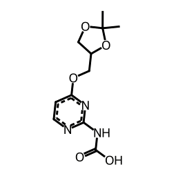 CC1(C)OCC(COc2ccnc(NC(=O)O)n2)O1